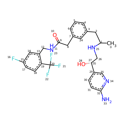 CC(Cc1cccc(CC(=O)NCc2cc(F)ccc2C(F)(F)F)c1)NC[C@@H](O)c1ccc(N)nc1